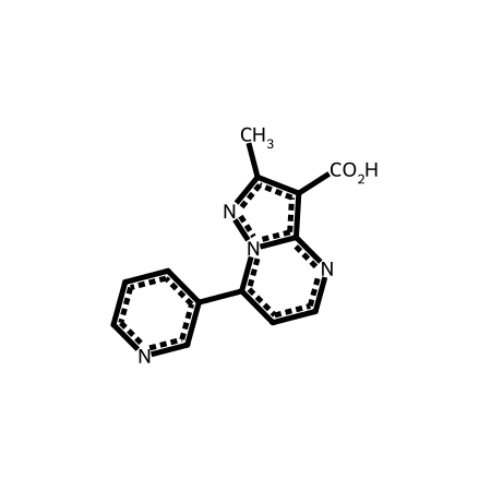 Cc1nn2c(-c3cccnc3)ccnc2c1C(=O)O